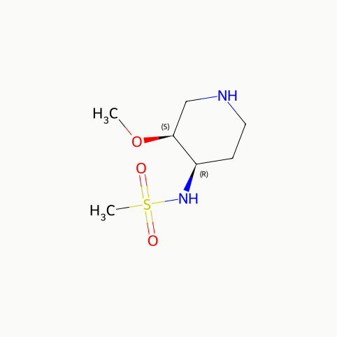 CO[C@H]1CNCC[C@H]1NS(C)(=O)=O